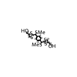 CSC(c1ccc(C(SC)C2SCC(CO)S2)cc1)C1SCC(CO)S1